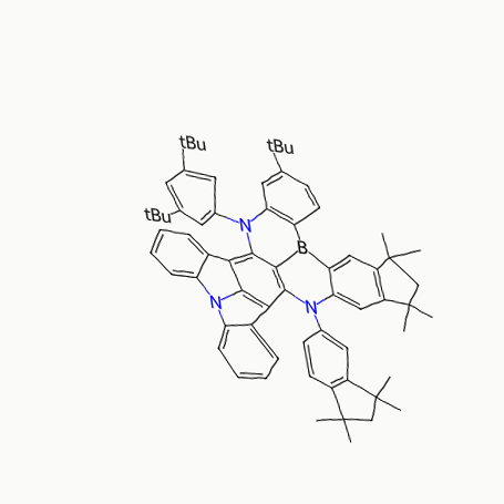 CC(C)(C)c1cc(N2c3cc(C(C)(C)C)ccc3B3c4cc5c(cc4N(c4ccc6c(c4)C(C)(C)CC6(C)C)c4c3c2c2c3ccccc3n3c6ccccc6c4c23)C(C)(C)CC5(C)C)cc(C(C)(C)C)c1